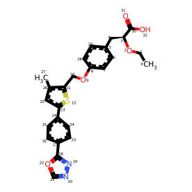 CCO[C@@H](Cc1ccc(OCc2sc(-c3ccc(-c4nnco4)cc3)cc2C)cc1)C(=O)O